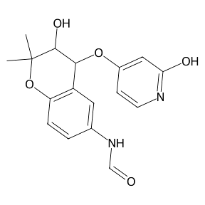 CC1(C)Oc2ccc(NC=O)cc2C(Oc2ccnc(O)c2)C1O